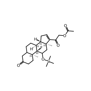 CC(=O)OCC(=O)C1=CC[C@H]2[C@@H]3CCC4CC(=O)CC[C@]4(C)[C@@]3(F)C(O[Si](C)(C)C)C[C@]12C